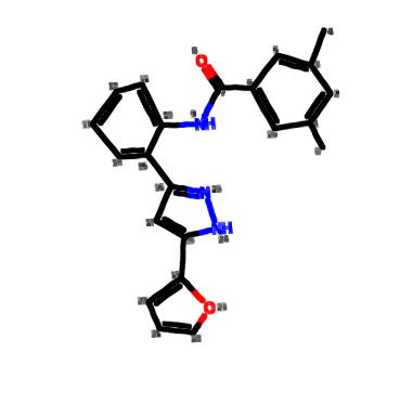 Cc1cc(C)cc(C(=O)Nc2ccccc2-c2cc(-c3ccco3)[nH]n2)c1